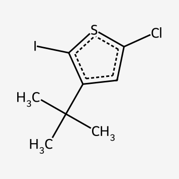 CC(C)(C)c1cc(Cl)sc1I